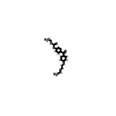 C=COC(=O)Oc1ccc(C(=O)c2ccc(OCCOCC)cc2)cc1